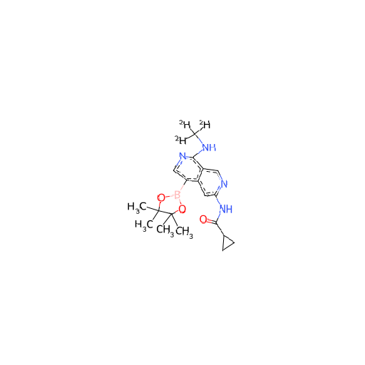 [2H]C([2H])([2H])Nc1ncc(B2OC(C)(C)C(C)(C)O2)c2cc(NC(=O)C3CC3)ncc12